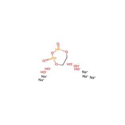 O=[PH]1OCCO[PH](=O)O1.[Na+].[Na+].[Na+].[Na+].[Na+].[OH-].[OH-].[OH-].[OH-].[OH-]